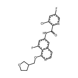 O=C(Nc1cc(F)c2c(OCC3CCOC3)nccc2c1)c1ncc(F)cc1Cl